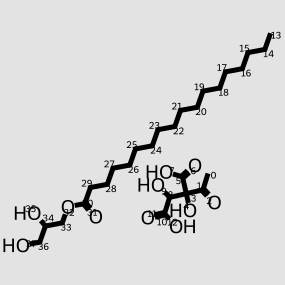 CC(=O)C(O)(C(=O)O)C(O)C(=O)O.CCCCCCCCCCCCCCCCCC(=O)OCC(O)CO